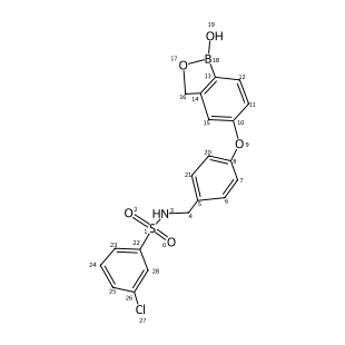 O=S(=O)(NCc1ccc(Oc2ccc3c(c2)COB3O)cc1)c1cccc(Cl)c1